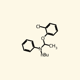 CCCCN(c1ccccc1)C(C)Oc1ccccc1Cl